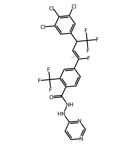 O=C(NNc1ccncn1)c1ccc(/C(F)=C/C(c2cc(Cl)c(Cl)c(Cl)c2)C(F)(F)F)cc1C(F)(F)F